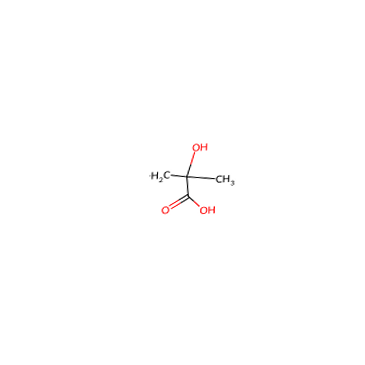 [CH2]C(C)(O)C(=O)O